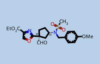 CCOC(=O)c1coc([C@@]2(C=O)CC[C@H](N(Cc3ccc(OC)cc3)S(C)(=O)=O)C2)n1